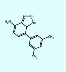 Cc1cc(C)cc(C2=CC=C(N)C3=NONC23)c1